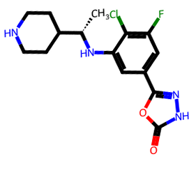 C[C@H](Nc1cc(-c2n[nH]c(=O)o2)cc(F)c1Cl)C1CCNCC1